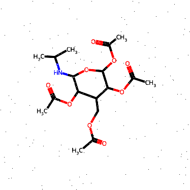 CC(=O)OCC1C(OC(C)=O)C(NC(C)C)OC(OC(C)=O)C1OC(C)=O